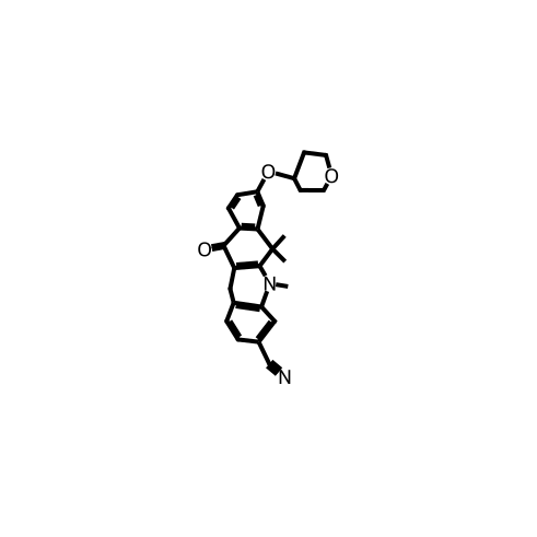 CN1C2=C(Cc3ccc(C#N)cc31)C(=O)c1ccc(OC3CCOCC3)cc1C2(C)C